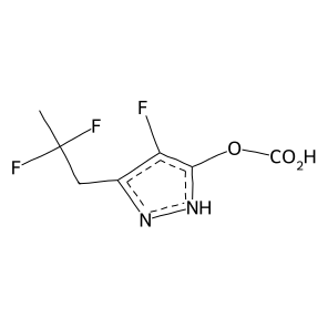 CC(F)(F)Cc1n[nH]c(OC(=O)O)c1F